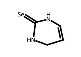 [Se]=C1NC=CCN1